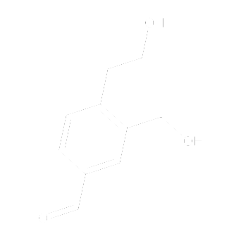 O=Cc1ccc(CCO)c(CO)c1